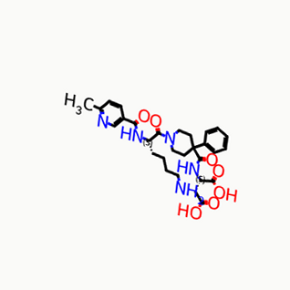 Cc1ccc(C(=O)N[C@@H](CCCCN)C(=O)N2CCC(C(=O)N[C@@H](CC(=O)O)C(=O)O)(c3ccccc3)CC2)cn1